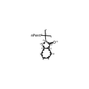 CCCCCC(C)(C)n1sc2ccccc2c1=O